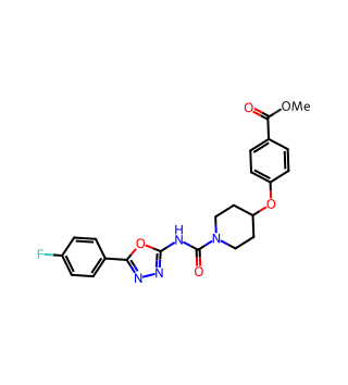 COC(=O)c1ccc(OC2CCN(C(=O)Nc3nnc(-c4ccc(F)cc4)o3)CC2)cc1